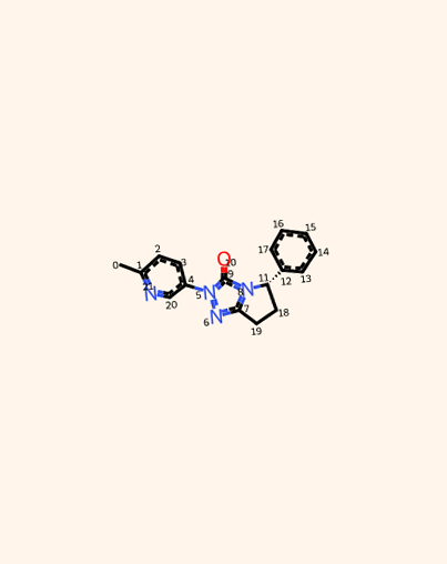 Cc1ccc(-n2nc3n(c2=O)[C@H](c2ccccc2)CC3)cn1